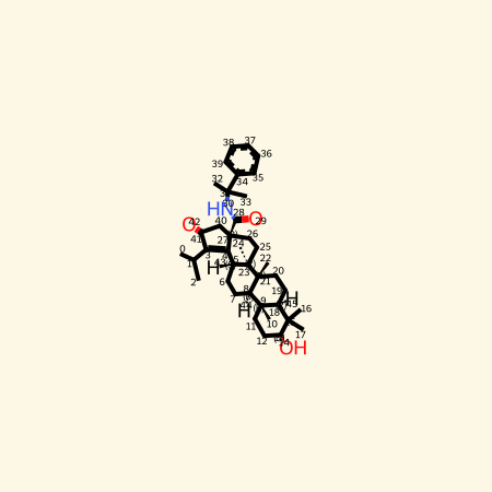 CC(C)C1=C2[C@H]3CC[C@@H]4[C@@]5(C)CC[C@H](O)C(C)(C)[C@@H]5CC[C@@]4(C)[C@]3(C)CC[C@@]2(C(=O)NC(C)(C)c2ccccc2)CC1=O